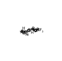 CC1(NC(=O)CN[C@H]2CC[C@H](CNC(=O)c3cccc(OC(F)(F)F)c3)CC2)CCC1